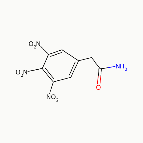 NC(=O)Cc1cc([N+](=O)[O-])c([N+](=O)[O-])c([N+](=O)[O-])c1